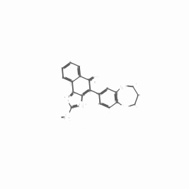 CN(C)C1=NC2=C(c3ccc4c(c3)OCCCO4)C(=O)c3ccccc3C2=N1